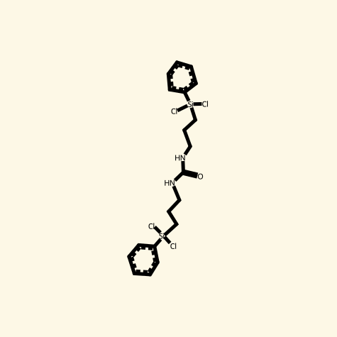 O=C(NCCC[Si](Cl)(Cl)c1ccccc1)NCCC[Si](Cl)(Cl)c1ccccc1